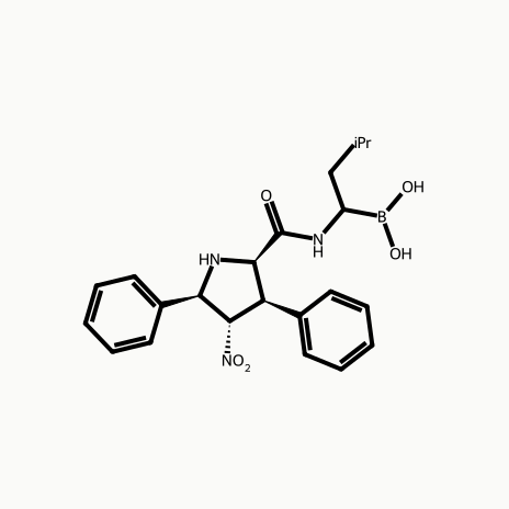 CC(C)CC(NC(=O)[C@@H]1N[C@H](c2ccccc2)[C@@H]([N+](=O)[O-])[C@@H]1c1ccccc1)B(O)O